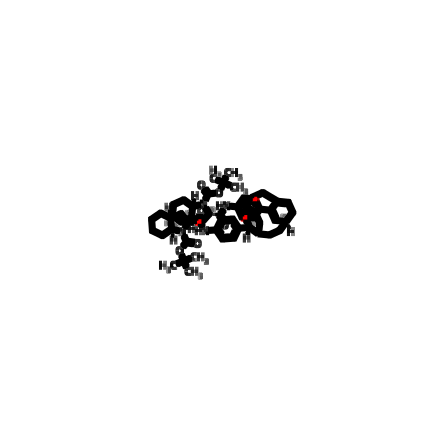 CC(C)(C)OC(=O)N1[C@H](C(=O)Nc2ccc(C3=C[C@H]4CC=C3CCC3=C[C@@H](c5ccc(NC(=O)[C@@H]6C[C@@H]7CCCC[C@@H]7N6C(=O)OC(C)(C)C)cc5)C(CC3)CC4)cc2)C[C@@H]2CCCC[C@@H]21